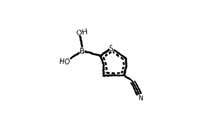 N#Cc1csc(B(O)O)c1